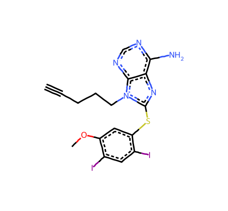 C#CCCCn1c(Sc2cc(OC)c(I)cc2I)nc2c(N)ncnc21